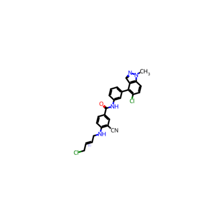 Cn1ncc2c(-c3cccc(NC(=O)c4ccc(NC/C=C/CCl)c(C#N)c4)c3)c(Cl)ccc21